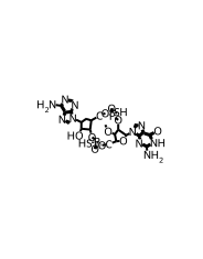 COC1C2CO[P@@](=O)(S)OC3C(COP(=O)(S)OC1C(n1cnc4c(=O)[nH]c(N)nc41)O2)CC(n1cnc2c(N)ncnc21)C3O